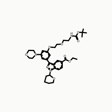 CCOC(=O)c1ccc2c(c1)c(-c1cc(OCCOCCNC(=O)OC(C)(C)C)cc(N3CCOCC3)c1)nn2C1CCCCO1